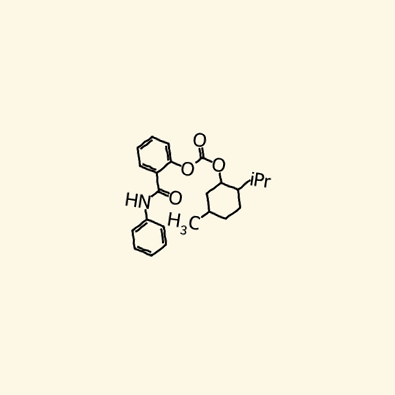 CC1CCC(C(C)C)C(OC(=O)Oc2ccccc2C(=O)Nc2ccccc2)C1